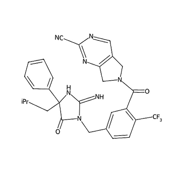 CC(C)CC1(c2ccccc2)NC(=N)N(Cc2ccc(C(F)(F)F)c(C(=O)N3Cc4cnc(C#N)nc4C3)c2)C1=O